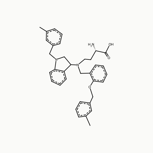 Cc1cccc(COc2ccccc2CN(CC[C@H](N)C(=O)O)C2CN(Cc3cccc(C)c3)c3ccccc32)c1